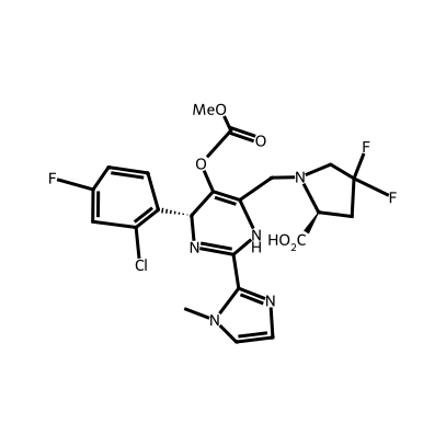 COC(=O)OC1=C(CN2CC(F)(F)C[C@H]2C(=O)O)NC(c2nccn2C)=N[C@@H]1c1ccc(F)cc1Cl